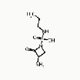 CCCNP(=O)(O)N1CC(N)C1=O